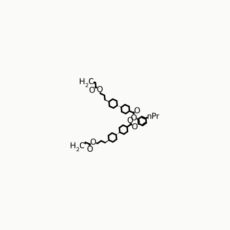 C=CC(=O)OCCC[C@H]1CC[C@H](C2CCC(C(=O)Oc3ccc(CCC)cc3OC(=O)C3CCC([C@H]4CC[C@H](CCCOC(=O)C=C)CC4)CC3)CC2)CC1